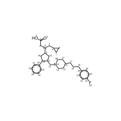 O=C(O)CN(CC1CC1)C1CC(CN2CCC(CCCc3ccc(F)cc3)CC2)C(c2ccccc2)C1